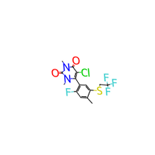 Cc1cc(F)c(-c2c(Cl)c(=O)n(C)c(=O)n2C)cc1SCC(F)(F)F